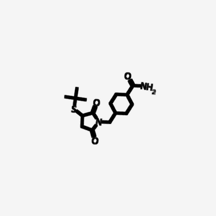 CC(C)(C)SC1CC(=O)N(CC2CCC(C(N)=O)CC2)C1=O